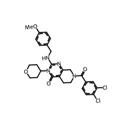 COc1ccc(CNc2nc3c(c(=O)n2C2CCOCC2)CCN(C(=O)c2ccc(Cl)c(Cl)c2)C3)cc1